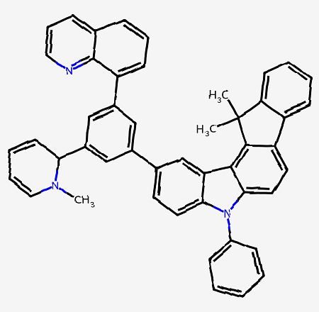 CN1C=CC=CC1c1cc(-c2ccc3c(c2)c2c4c(ccc2n3-c2ccccc2)-c2ccccc2C4(C)C)cc(-c2cccc3cccnc23)c1